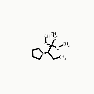 CCC(N1CCCC1)[Si](OC)(OC)OC